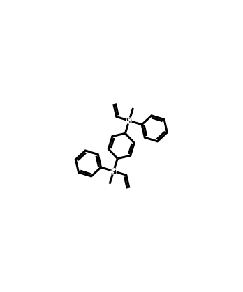 C=C[Si](C)([C]1C=C[C]([Si](C)(C=C)c2ccccc2)C=C1)c1ccccc1